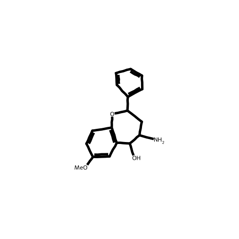 COc1ccc2c(c1)C(O)C(N)CC(c1ccccc1)O2